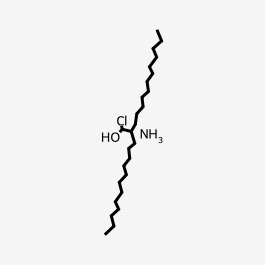 CCCCCCCCCCCCC(CCCCCCCCCCCC)C(O)Cl.N